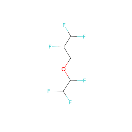 FC(F)C(F)COC(F)C(F)F